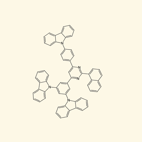 c1ccc2c(-c3nc(-c4ccc(-n5c6ccccc6c6ccccc65)cc4)cc(-c4cc(-n5c6ccccc6c6ccccc65)cc(-n5c6ccccc6c6ccccc65)c4)n3)cccc2c1